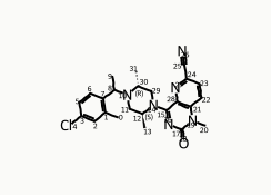 Cc1cc(Cl)ccc1C(C)N1C[C@H](C)N(c2nc(=O)n(C)c3ccc(C#N)nc23)C[C@H]1C